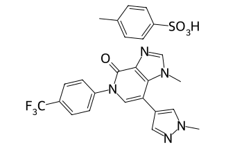 Cc1ccc(S(=O)(=O)O)cc1.Cn1cc(-c2cn(-c3ccc(C(F)(F)F)cc3)c(=O)c3ncn(C)c23)cn1